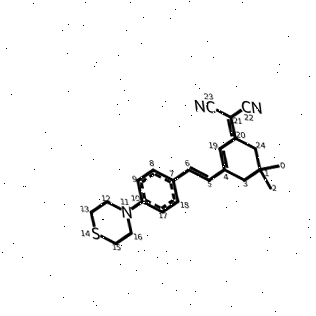 CC1(C)CC(/C=C/c2ccc(N3CCSCC3)cc2)=CC(=C(C#N)C#N)C1